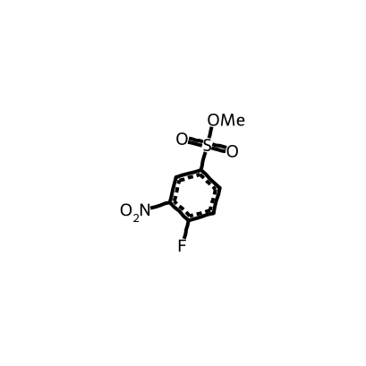 COS(=O)(=O)c1ccc(F)c([N+](=O)[O-])c1